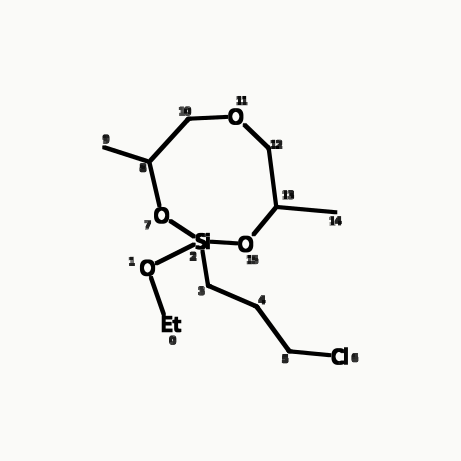 CCO[Si]1(CCCCl)OC(C)COCC(C)O1